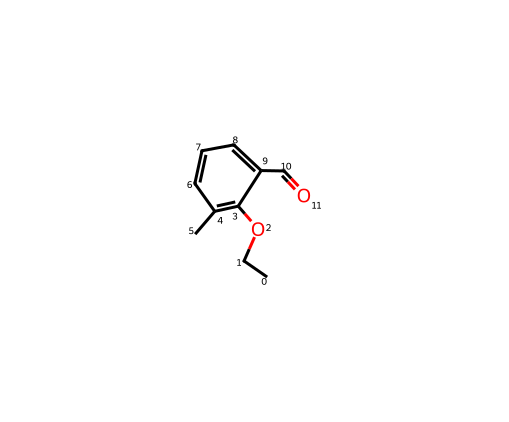 CCOc1c(C)cccc1C=O